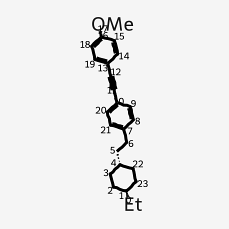 CC[C@H]1CC[C@H](CCc2ccc(C#Cc3ccc(OC)cc3)cc2)CC1